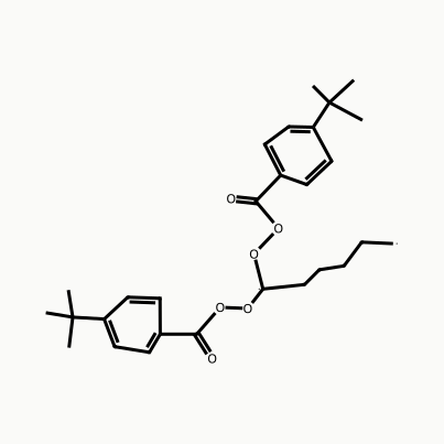 [CH2]CCCC[C](OOC(=O)c1ccc(C(C)(C)C)cc1)OOC(=O)c1ccc(C(C)(C)C)cc1